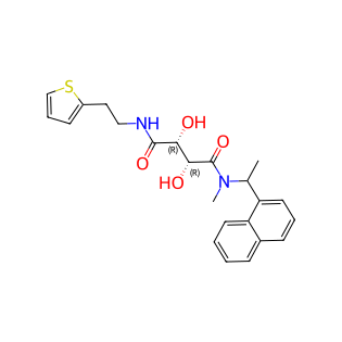 CC(c1cccc2ccccc12)N(C)C(=O)[C@H](O)[C@@H](O)C(=O)NCCc1cccs1